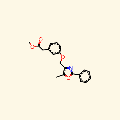 COC(=O)Cc1cccc(OCc2nc(-c3ccccc3)oc2C)c1